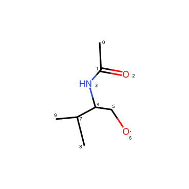 CC(=O)NC(C[O])C(C)C